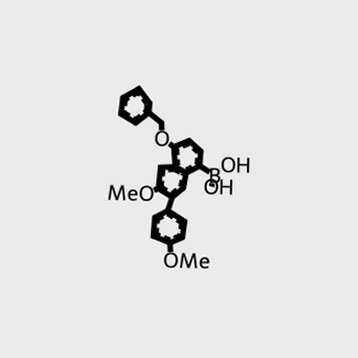 COc1ccc(-c2cc3c(B(O)O)ccc(OCc4ccccc4)c3cc2OC)cc1